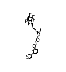 CCN(CC=CC#CC(F)(C(F)(F)F)C(F)(F)F)CCOCCOc1cccc(-c2ccsc2)c1